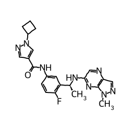 C[C@H](Nc1cnc2cnn(C)c2n1)c1cc(NC(=O)c2cnn(C3CCC3)c2)ccc1F